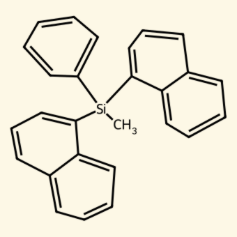 C[Si](c1ccccc1)(c1cccc2ccccc12)c1cccc2ccccc12